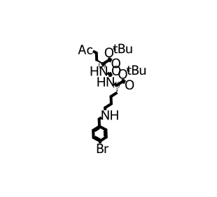 CC(=O)CC[C@H](NC(=O)N[C@@H](CCCCNCc1ccc(Br)cc1)C(=O)OC(C)(C)C)C(=O)OC(C)(C)C